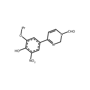 CC(C)Oc1cc(C2=NCN(C=O)C=C2)cc([N+](=O)[O-])c1O